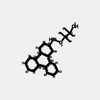 CC(C)(O)C(C)(C)OBc1ccc2c3ccccc3c3ccccc3c2c1